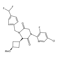 CO[C@H]1C[C@@H](C2C(=O)N(c3ncc(Cl)cc3F)CC(=O)N2Cc2ccc(C(F)F)cc2)C1